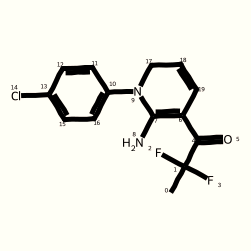 CC(F)(F)C(=O)C1=C(N)N(c2ccc(Cl)cc2)CC=C1